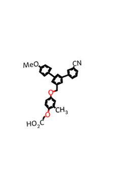 COc1ccc(-c2cc(COc3ccc(OCC(=O)O)c(C)c3)cc(-c3cccc(C#N)c3)c2)cc1